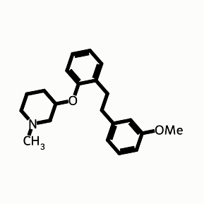 COc1cccc(CCc2ccccc2OC2CCCN(C)C2)c1